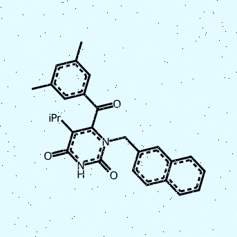 Cc1cc(C)cc(C(=O)c2c(C(C)C)c(=O)[nH]c(=O)n2Cc2ccc3ccccc3c2)c1